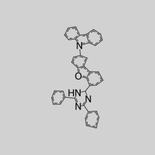 c1ccc(C2=NC(c3cccc4c3oc3ccc(-n5c6ccccc6c6ccccc65)cc34)NC(c3ccccc3)=N2)cc1